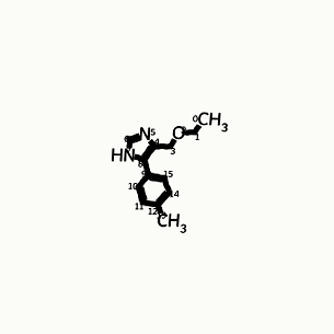 CCOCc1nc[nH]c1-c1ccc(C)cc1